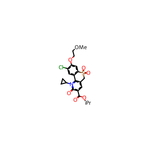 COCCOc1cc2c(cc1Cl)-c1c(cc(C(=O)OC(C)C)c(=O)n1C1CC1)CS2(=O)=O